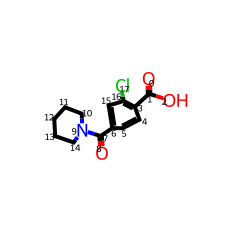 O=C(O)c1ccc(C(=O)N2CCCCC2)cc1Cl